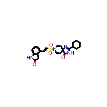 O=C1Cc2c(/C=C/S(=O)(=O)N3CCC4(CC3)N=C(C3CCCCC3)NC4=O)cccc2N1